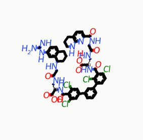 N=C(N)Nc1ccc2c(c1)C(NCC(=O)NC[C@H](NC(=O)c1c(Cl)cc(-c3cccc(-c4ccc(Cl)c(C(=O)N[C@@H](CNC(=O)CNC(=O)c5ccc6c(n5)NCCC6)C(=O)O)c4Cl)c3)cc1Cl)C(=O)O)CCC2